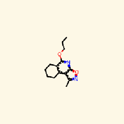 CCCOc1nc2onc(C)c2c2c1CCCC2